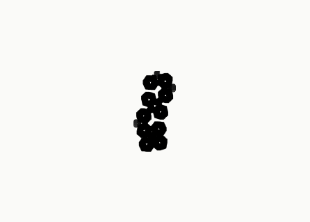 c1ccc(C2(c3ccccc3)c3ccccc3-c3c2ccc2oc4ccc(-c5c6ccccc6c(-c6ccc7oc8ccc9sc%10ccccc%10c9c8c7c6)c6ccccc56)cc4c32)cc1